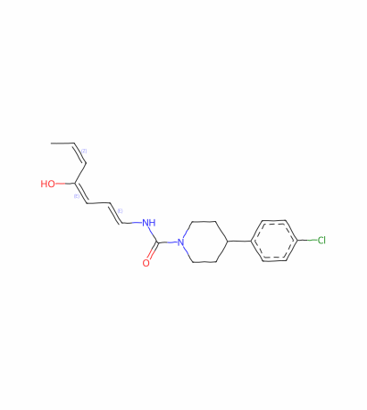 C\C=C/C(O)=C\C=C\NC(=O)N1CCC(c2ccc(Cl)cc2)CC1